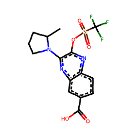 CC1CCCN1c1nc2cc(C(=O)O)ccc2nc1OS(=O)(=O)C(F)(F)F